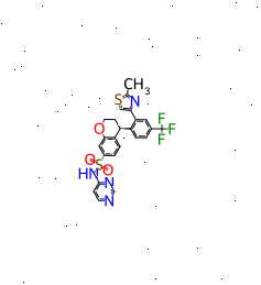 Cc1nc(-c2cc(C(F)(F)F)ccc2[C@@H]2CCOc3cc(S(=O)(=O)Nc4ccncn4)ccc32)cs1